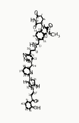 Cn1c(=O)n(C2CCC(=O)NC2=O)c2ccc(CNCCc3cn(Cc4cccc(N5C[C@H]6C[C@@H]5CN6/C=C/C(=O)c5ccccc5O)n4)nn3)cc21